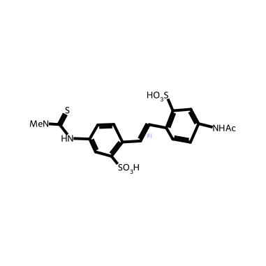 CNC(=S)Nc1ccc(/C=C/c2ccc(NC(C)=O)cc2S(=O)(=O)O)c(S(=O)(=O)O)c1